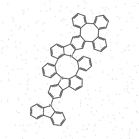 c1ccc2c(c1)c1ccccc1c1cc3c4cccc5c6ccccc6n6c7ccc(-n8c9ccccc9c9ccccc98)cc7c7cccc(c8ccccc8n(c3cc1c1ccccc21)c54)c76